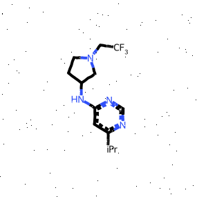 CC(C)c1cc(NC2CCN(CC(F)(F)F)C2)ncn1